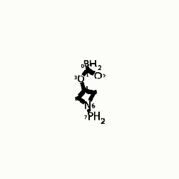 BC(=O)OC1CN(P)C1